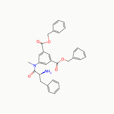 CN(C(=O)[C@@H](N)Cc1ccccc1)c1cc(C(=O)OCc2ccccc2)cc(C(=O)OCc2ccccc2)c1